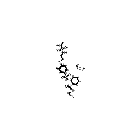 CN(C)S(=O)(=O)NCCSc1ccc(S(=O)(=O)C[C@H]2CCCC[C@@H]2C(=O)NCC#N)cc1F.CS(=O)(=O)O